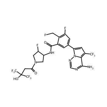 Nc1ncnn2c(-c3cc(F)c(CF)c(C(=O)NC4CN(C(=O)CC(O)(C(F)(F)F)C(F)(F)F)CC4F)c3)cc(C(F)(F)F)c12